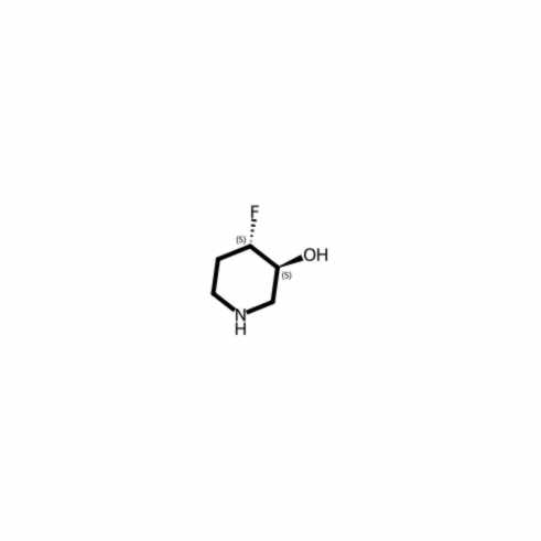 O[C@H]1CNCC[C@@H]1F